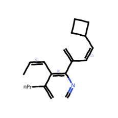 C=N/C(C(=C)/C=C\C1CCC1)=C(/C=C\C)C(=C)CCC